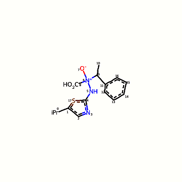 CC(C)c1cnc(N[N+]([O-])(C(=O)O)C(C)c2ccccc2)s1